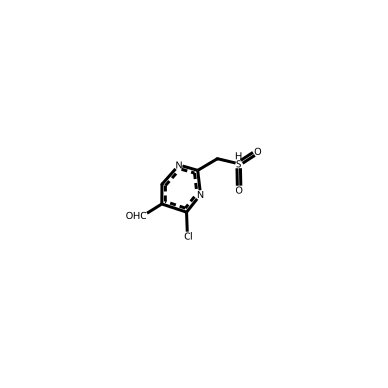 O=Cc1cnc(C[SH](=O)=O)nc1Cl